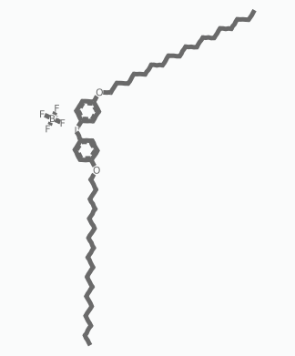 CCCCCCCCCCCCCCCCCCOc1ccc([I+]c2ccc(OCCCCCCCCCCCCCCCCCC)cc2)cc1.F[B-](F)(F)F